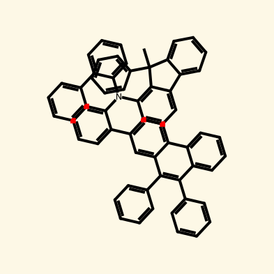 CC1(c2ccccc2)c2ccccc2-c2cccc(N(c3ccccc3-c3ccccc3)c3ccccc3-c3ccc4c(c3)c(-c3ccccc3)c(-c3ccccc3)c3ccccc34)c21